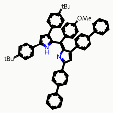 COc1ccc(/C(=C2/N=C(c3ccc(-c4ccccc4)cc3)C=C2c2ccc(-c3ccccc3)cc2)c2[nH]c(-c3ccc(C(C)(C)C)cc3)cc2-c2ccc(C(C)(C)C)cc2)cc1